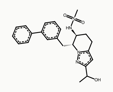 CC(O)c1cc2n(n1)[C@H](Cc1cccc(-c3ccccc3)c1)[C@@H](NS(C)(=O)=O)CC2